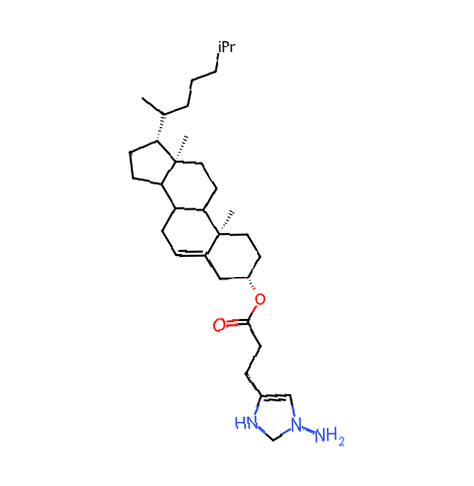 CC(C)CCCC(C)[C@H]1CCC2C3CC=C4C[C@@H](OC(=O)CCC5=CN(N)CN5)CC[C@]4(C)C3CC[C@@]21C